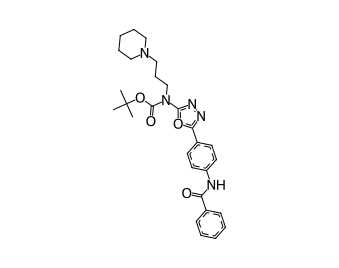 CC(C)(C)OC(=O)N(CCCN1CCCCC1)c1nnc(-c2ccc(NC(=O)c3ccccc3)cc2)o1